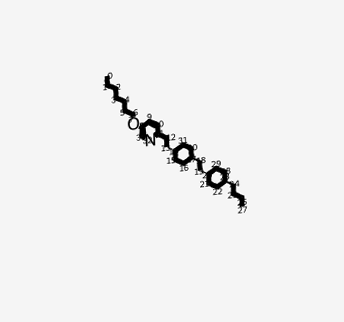 CCCCCCCOc1ccc(CC[C@H]2CC[C@H](CC[C@H]3CC[C@H](CCCC)CC3)CC2)nc1